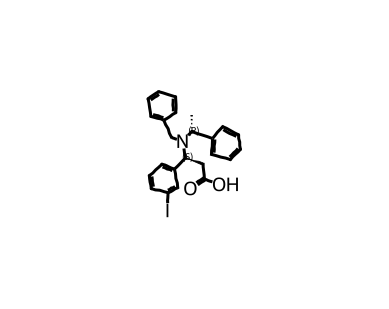 C[C@H](c1ccccc1)N(Cc1ccccc1)[C@@H](CC(=O)O)c1cccc(I)c1